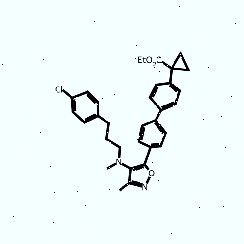 CCOC(=O)C1(c2ccc(-c3ccc(-c4onc(C)c4N(C)CCCc4ccc(Cl)cc4)cc3)cc2)CC1